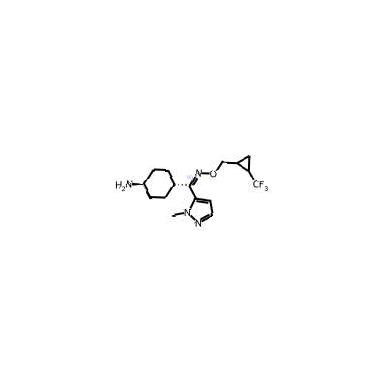 Cn1nccc1/C(=N\OCC1CC1C(F)(F)F)[C@H]1CC[C@H](N)CC1